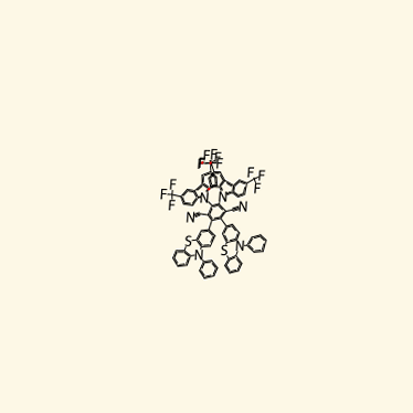 N#Cc1c(-c2ccc3c(c2)Sc2ccccc2N3c2ccccc2)c(-c2ccc3c(c2)Sc2ccccc2N3c2ccccc2)c(C#N)c(-n2c3ccc(C(F)(F)F)cc3c3cc(C(F)(F)F)ccc32)c1-n1c2ccc(C(F)(F)F)cc2c2cc(C(F)(F)F)ccc21